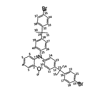 COc1ccccc1N(c1ccc(C(C)(C)c2ccc(Br)cc2)cc1)c1ccc(C(C)(C)c2ccc(Br)cc2)cc1